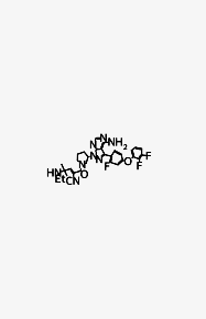 CCNC(C)(C)C=C(C#N)C(=O)N1CCC[C@H](n2nc(-c3ccc(Oc4cccc(F)c4F)cc3F)c3c(N)ncnc32)C1